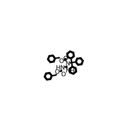 N=C(NC(=O)OCc1ccccc1)N(C(=O)OCc1ccccc1)C(c1ccccc1)(c1ccccc1)c1ccccc1